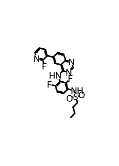 CCCCS(=O)(=O)Nc1ccc(F)c(Nc2ncnc3ccc(-c4cccnc4F)cc23)c1F